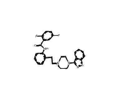 O=C(Nc1ccccc1CCN1CCN(c2nsc3ccccc23)CC1)c1cc(F)ccc1F